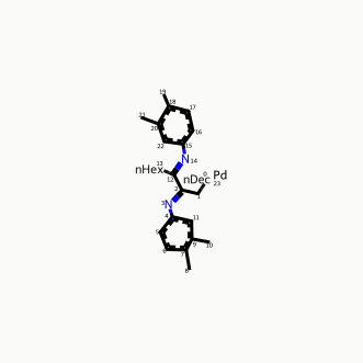 CCCCCCCCCCCC(=N\c1ccc(C)c(C)c1)/C(CCCCCC)=N/c1ccc(C)c(C)c1.[Pd]